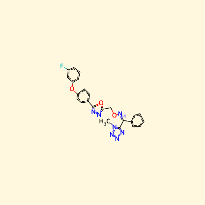 Cn1nnnc1/C(=N\OCc1nnc(-c2ccc(Oc3cccc(F)c3)cc2)o1)c1ccccc1